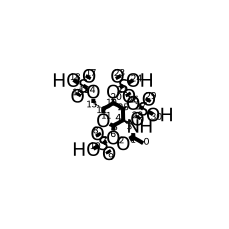 CC(=O)N[C@H]1C(OS(=O)(=O)O)O[C@H](COS(=O)(=O)O)[C@H](OS(=O)(=O)O)[C@@H]1OS(=O)(=O)O